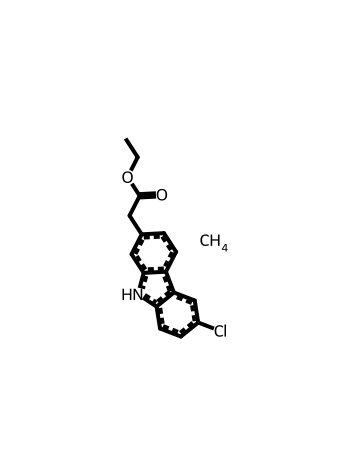 C.CCOC(=O)Cc1ccc2c(c1)[nH]c1ccc(Cl)cc12